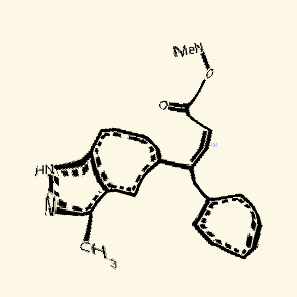 CNOC(=O)/C=C(/c1ccccc1)c1ccc2[nH]nc(C)c2c1